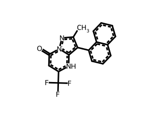 Cc1nn2c(=O)cc(C(F)(F)F)[nH]c2c1-c1cccc2ccccc12